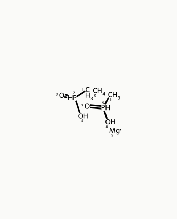 C.C[PH](=O)O.C[PH](=O)O.[Mg]